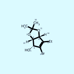 CCC1=C(Br)[C@H](O)[C@@H]2OC(C)(C)O[C@H]12